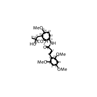 COc1cc(OC)c(C=CC(=O)Nc2ccc(OC)c(CC(C)(O)C(=O)O)c2)c(OC)c1